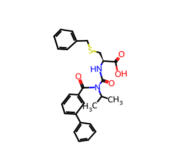 CC(C)N(C(=O)N[C@@H](CSCc1ccccc1)C(=O)O)C(=O)c1cccc(-c2ccccc2)c1